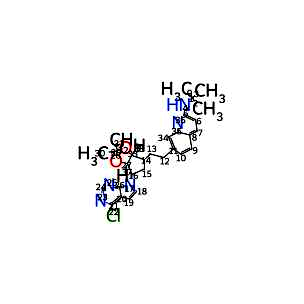 CC(C)(C)Nc1ccc2ccc(CC[C@H]3C[C@@H](n4ccc5c(Cl)ncnc54)[C@@H]4OC(C)(C)O[C@H]34)cc2n1